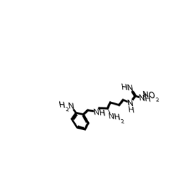 N=C(NCCC[C@H](N)CNCc1ccccc1N)N[N+](=O)[O-]